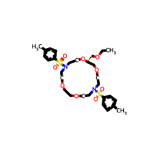 CCOC[C@@H]1COCCN(S(=O)(=O)c2ccc(C)cc2)CCOCCOCCN(S(=O)(=O)c2ccc(C)cc2)CCO1